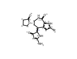 NC1=NC(=O)/C(=C2\CCNC(=O)c3[nH]c(Br)cc32)N1.O=C1CCCO1